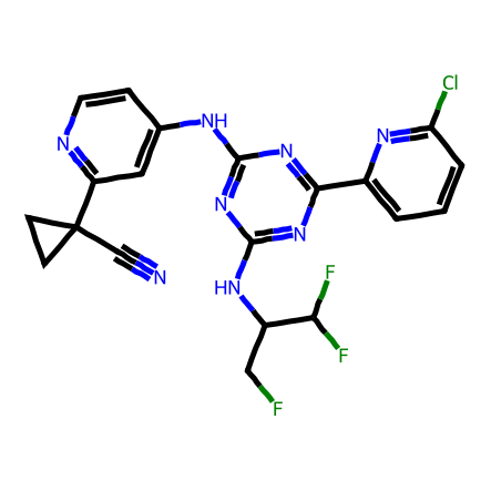 N#CC1(c2cc(Nc3nc(NC(CF)C(F)F)nc(-c4cccc(Cl)n4)n3)ccn2)CC1